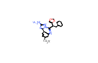 Nc1nc2c3ccc(C(=O)O)cc3nc(C(Cc3ccccc3)C3=COCO3)n2n1